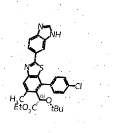 CCOC(=O)[C@@H](OC(C)(C)C)c1c(C)cc2nc(-c3ccc4nc[nH]c4c3)sc2c1-c1ccc(Cl)cc1